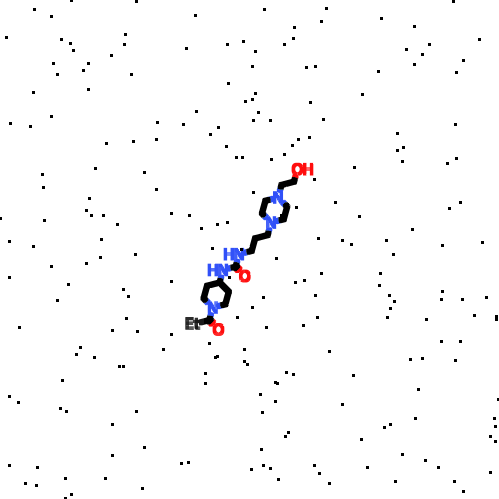 CCC(=O)N1CCC(NC(=O)NCCCN2CCN(CCO)CC2)CC1